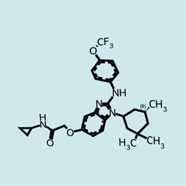 C[C@H]1CC(n2c(Nc3ccc(OC(F)(F)F)cc3)nc3cc(OCC(=O)NC4CC4)ccc32)CC(C)(C)C1